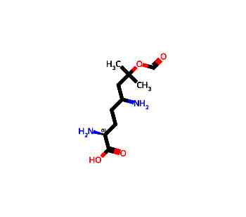 CC(C)(CC(N)CC[C@H](N)C(=O)O)O[C]=O